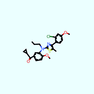 CCCN(c1nc(-c2ccc(OC)cc2Cl)c(C)s1)c1cc(C(=O)C2CC2)ccc1OC